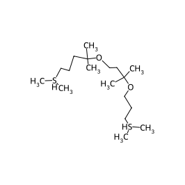 C[SH](C)CCCOC(C)(C)CCOC(C)(C)CCC[SH](C)C